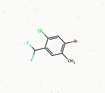 Cc1cc(C(F)F)c(Cl)cc1Br